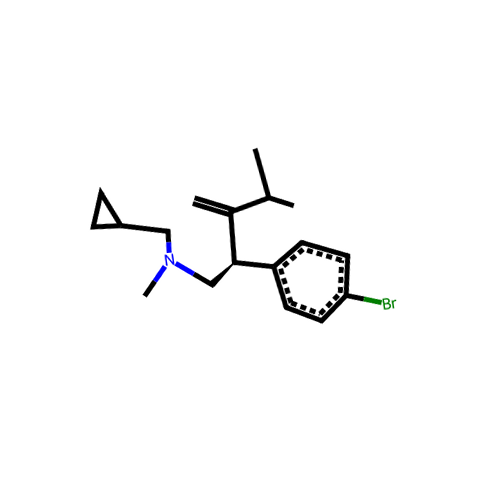 C=C(C(C)C)[C@H](CN(C)CC1CC1)c1ccc(Br)cc1